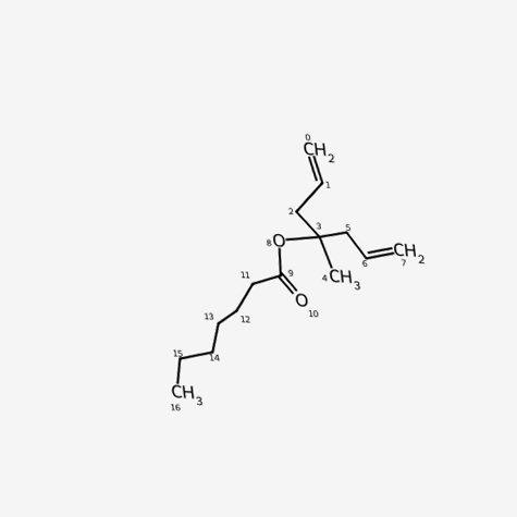 C=CCC(C)(CC=C)OC(=O)CCCCCC